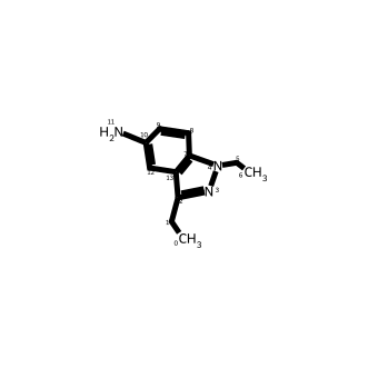 CCc1nn(CC)c2ccc(N)cc12